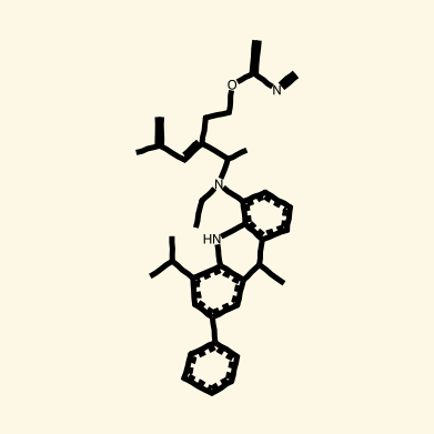 C=NC(=C)OCC/C(=C\C(=C)C)C(C)N(CC)c1cccc2c1Nc1c(C(C)C)cc(-c3ccccc3)cc1C2C